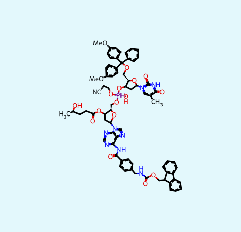 COc1ccc(C(OC[C@H]2OC(n3cc(C)c(=O)[nH]c3=O)CC2O[PH](O)(OCCC#N)OC[C@H]2OC(n3cnc4c(NC(=O)c5ccc(CNC(=O)OCC6c7ccccc7-c7ccccc76)cc5)ncnc43)CC2OC(=O)CCC(C)O)(c2ccccc2)c2ccc(OC)cc2)cc1